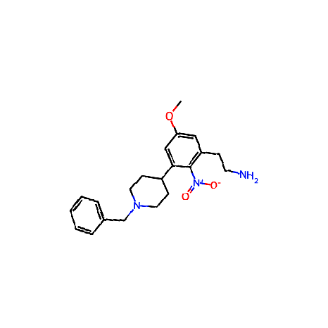 COc1cc(CCN)c([N+](=O)[O-])c(C2CCN(Cc3ccccc3)CC2)c1